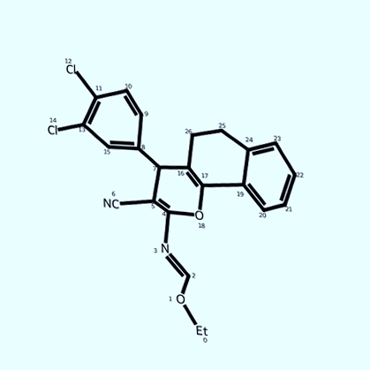 CCO/C=N/C1=C(C#N)C(c2ccc(Cl)c(Cl)c2)C2=C(O1)c1ccccc1CC2